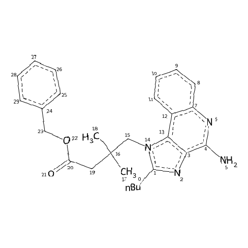 CCCCc1nc2c(N)nc3ccccc3c2n1CC(C)(C)CC(=O)OCc1ccccc1